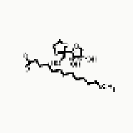 CCCCCCCCCCCCCC(=O)O.OCC1([C@H]2OC[C@H](O)[C@H]2O)OCCO1